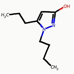 CCCCn1nc(O)cc1CCC